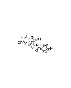 O=C(Nc1scc(-c2cccc(Cl)c2)c1C(=O)O)c1ccc(I)cc1